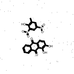 Cc1cc([N+](=O)[O-])cc([N+](=O)[O-])c1O.O=C1c2ccccc2C(=O)c2c1ccc(O)c2O